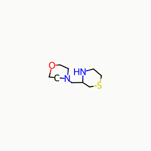 C1CSCC(CN2CCOCC2)N1